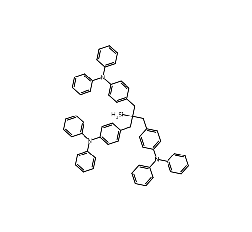 [SiH3]C(Cc1ccc(N(c2ccccc2)c2ccccc2)cc1)(Cc1ccc(N(c2ccccc2)c2ccccc2)cc1)Cc1ccc(N(c2ccccc2)c2ccccc2)cc1